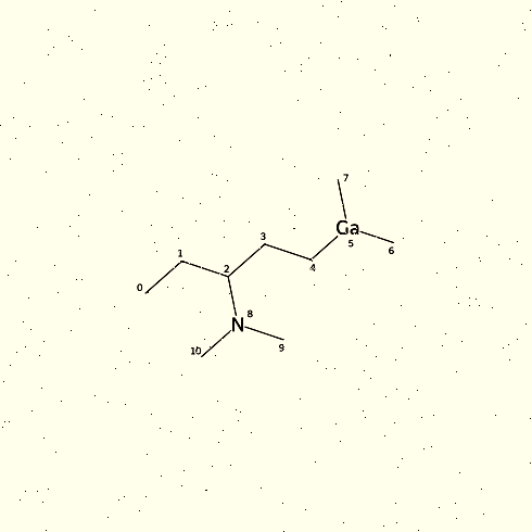 CCC(C[CH2][Ga]([CH3])[CH3])N(C)C